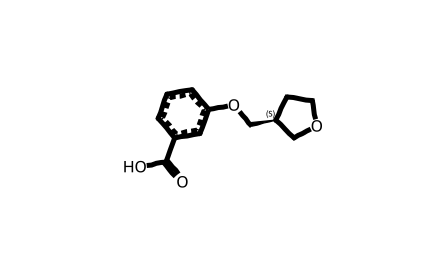 O=C(O)c1cccc(OC[C@H]2CCOC2)c1